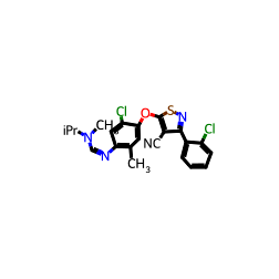 Cc1cc(Oc2snc(-c3ccccc3Cl)c2C#N)c(Cl)cc1/N=C\N(C)C(C)C